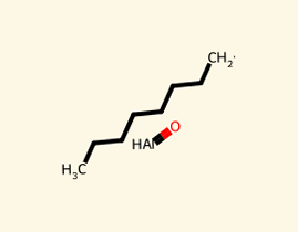 [CH2]CCCCCCC.[O]=[AlH]